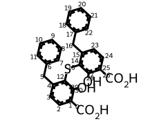 O=C(O)c1ccc(Cc2ccccc2)c(Sc2c(Cc3ccccc3)ccc(C(=O)O)c2O)c1O